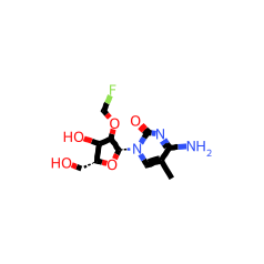 Cc1cn([C@@H]2O[C@H](CO)C(O)C2OCF)c(=O)nc1N